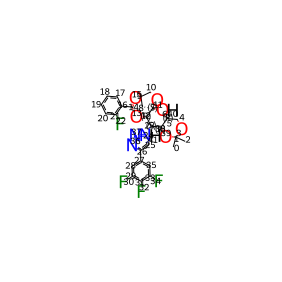 CC1(C)OC[C@H]2O[C@@]3(CCCO3)[C@H](OC(=O)c3ccccc3F)[C@@H](n3cc(-c4cc(F)c(F)c(F)c4)nn3)[C@H]2O1